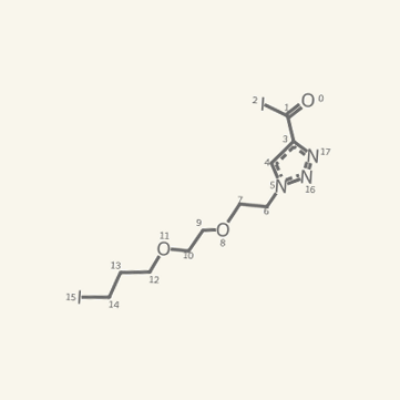 O=C(I)c1cn(CCOCCOCCCI)nn1